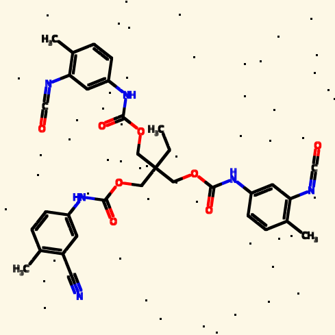 CCC(COC(=O)Nc1ccc(C)c(C#N)c1)(COC(=O)Nc1ccc(C)c(N=C=O)c1)COC(=O)Nc1ccc(C)c(N=C=O)c1